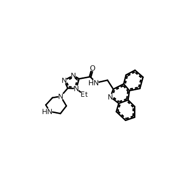 CCn1c(C(=O)NCc2nc3ccccc3c3ccccc23)nnc1N1CCNCC1